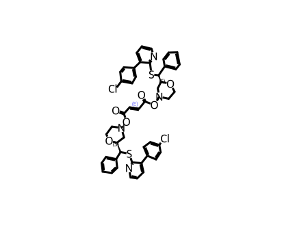 O=C(/C=C/C(=O)ON1CCO[C@H](C(Sc2ncccc2-c2ccc(Cl)cc2)c2ccccc2)C1)ON1CCO[C@H](C(Sc2ncccc2-c2ccc(Cl)cc2)c2ccccc2)C1